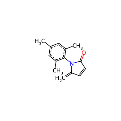 C=C1C=CC(=O)N1c1c(C)cc(C)cc1C